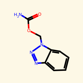 NC(=O)OCn1nnc2ccccc21